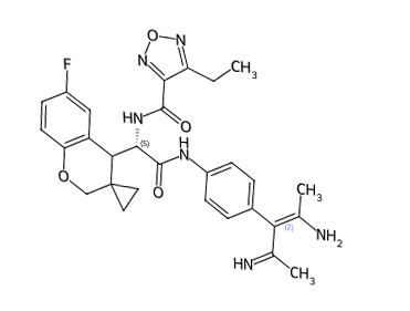 CCc1nonc1C(=O)N[C@H](C(=O)Nc1ccc(/C(C(C)=N)=C(\C)N)cc1)C1c2cc(F)ccc2OCC12CC2